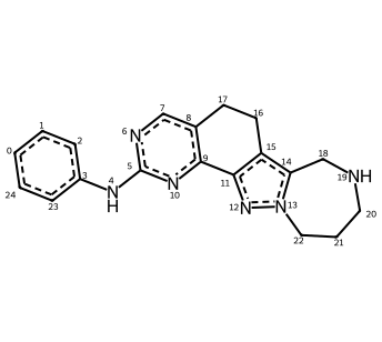 c1ccc(Nc2ncc3c(n2)-c2nn4c(c2CC3)CNCCC4)cc1